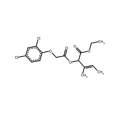 C/C=C(\C)C(OC(=O)COc1ccc(Cl)cc1Cl)C(=O)OCC